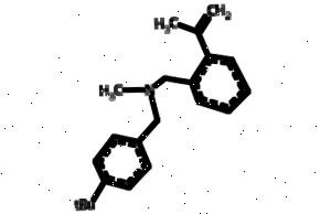 C=C(C)c1ccccc1CN(C)Cc1ccc(C(C)(C)C)cc1